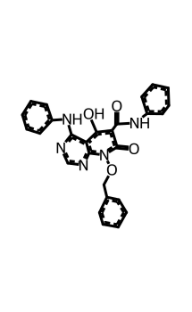 O=C(Nc1ccccc1)c1c(O)c2c(Nc3ccccc3)ncnc2n(OCc2ccccc2)c1=O